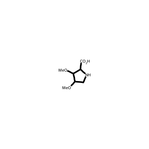 COC1CNC(C(=O)O)C1OC